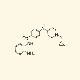 Nc1ccccc1NC(=O)C1C=CC(NC2CCN(CC3CC3)CC2)=CC1